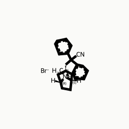 C[N+]1(C)[C@@H]2CC[C@H]1C[C@@H](CC(C#N)(c1ccccc1)c1ccccc1)C2.[Br-]